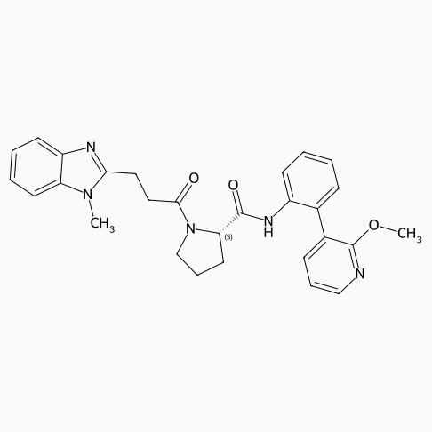 COc1ncccc1-c1ccccc1NC(=O)[C@@H]1CCCN1C(=O)CCc1nc2ccccc2n1C